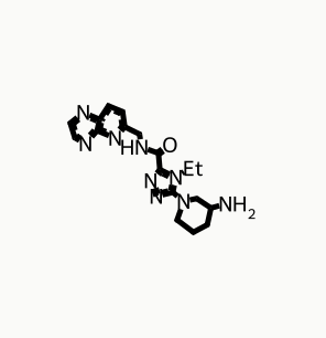 CCn1c(C(=O)NCc2ccc3nccnc3n2)nnc1N1CCCC(N)C1